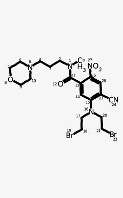 CN(CCCN1CCOCC1)C(=O)c1cc(N(CCBr)CCBr)c(C#N)cc1[N+](=O)[O-]